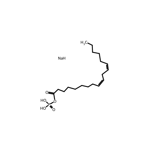 CCCCC/C=C\C/C=C\CCCCCCCC(=O)OP(=O)(O)O.[NaH]